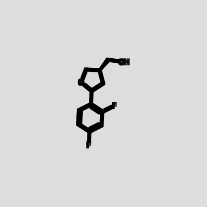 OC[C@@H]1COC(c2ccc(F)cc2F)C1